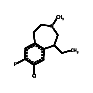 CCC1CN(C)CCc2cc(F)c(Cl)cc21